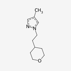 Cc1cnn(CCC2CCOCC2)c1